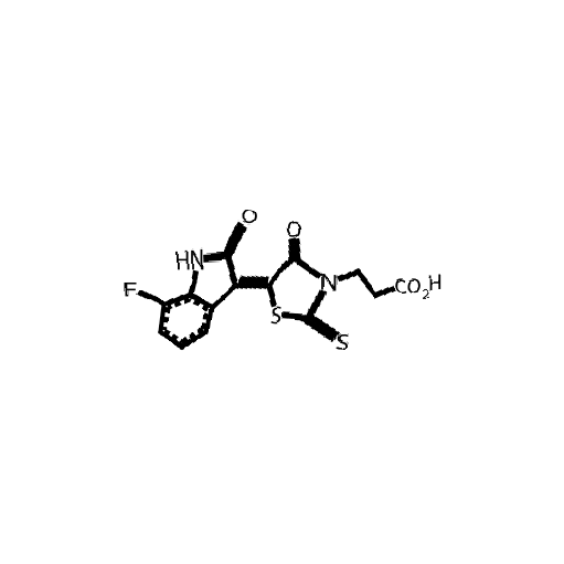 O=C(O)CCN1C(=O)C(=C2C(=O)Nc3c(F)cccc32)SC1=S